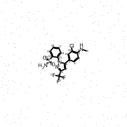 CNc1ccc(-c2cc(C(F)(F)F)nn2-c2ccccc2S(N)(=O)=O)cc1Cl